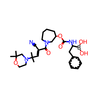 CC1(C)CN(C(C)(C)C=C(C#N)C(=O)N2CCCC[C@@H](OC(=O)NC(Cc3ccccc3)B(O)O)C2)CCO1